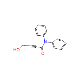 O=C(C#CCO)N(c1ccccc1)c1ccccc1